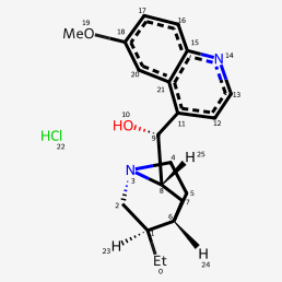 CC[C@H]1C[N@]2CC[C@H]1C[C@H]2[C@H](O)c1ccnc2ccc(OC)cc12.Cl